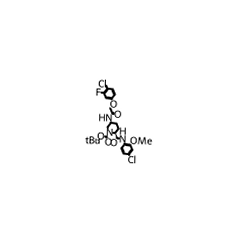 COc1cc(Cl)ccc1NC(=O)[C@@H]1CCC(NC(=O)COc2ccc(Cl)c(F)c2)CN1C(=O)OC(C)(C)C